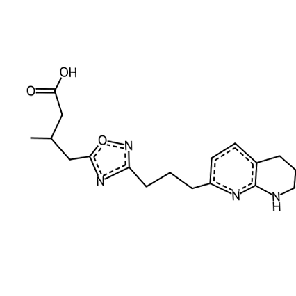 CC(CC(=O)O)Cc1nc(CCCc2ccc3c(n2)NCCC3)no1